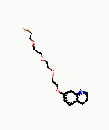 BrCCOCCOCCOCCOc1ccc2cccnc2c1